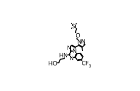 Cc1cnn(COCC[Si](C)(C)C)c1-c1cnc2c(NCCCO)nc3cc(C(F)(F)F)ccc3n12